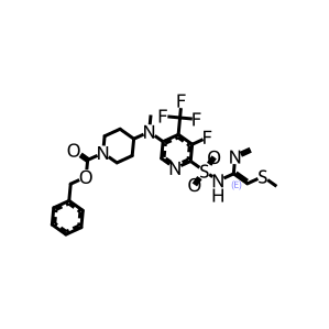 C=N/C(=C\SC)NS(=O)(=O)c1ncc(N(C)C2CCN(C(=O)OCc3ccccc3)CC2)c(C(F)(F)F)c1F